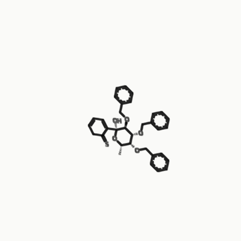 C[C@@H]1O[C@@](O)(C2=CC=CCC2=S)[C@@H](OCc2ccccc2)[C@H](OCc2ccccc2)[C@@H]1OCc1ccccc1